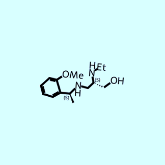 CCN[C@H](CO)CN[C@@H](C)c1ccccc1OC